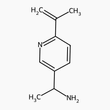 C=C(C)c1ccc(C(C)N)cn1